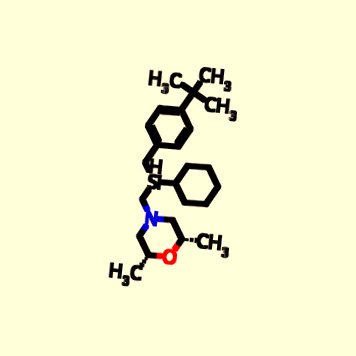 C[C@@H]1CN(C[SiH](Cc2ccc(C(C)(C)C)cc2)C2CCCCC2)C[C@H](C)O1